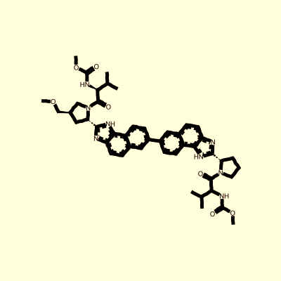 COC[C@@H]1C[C@@H](c2nc3ccc4cc(-c5ccc6c(ccc7nc([C@@H]8CCCN8C(=O)C(NC(=O)OC)C(C)C)[nH]c76)c5)ccc4c3[nH]2)N(C(=O)[C@@H](NC(=O)OC)C(C)C)C1